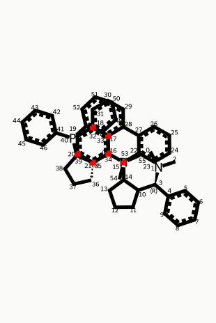 CN(C)[C@@H](c1ccccc1)C1CCCC1P(c1ccccc1)c1ccccc1-c1ccccc1[C@@H]([C@@H]1CCCC1P(c1ccccc1)c1ccccc1)N(C)C